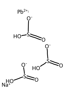 O=S([O-])O.O=S([O-])O.O=S([O-])O.[Na+].[Pb+2]